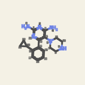 Nc1nc(N)c(N2CCNCC2)c(-c2ccccc2C2CC2)n1